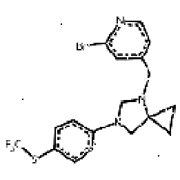 FC(F)(F)Sc1ccc(N2CN(Cc3ccnc(Br)c3)C3(CC3)C2)cc1